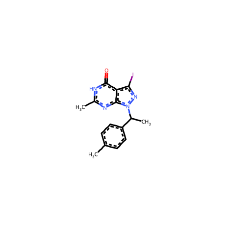 Cc1ccc(C(C)n2nc(I)c3c(=O)[nH]c(C)nc32)cc1